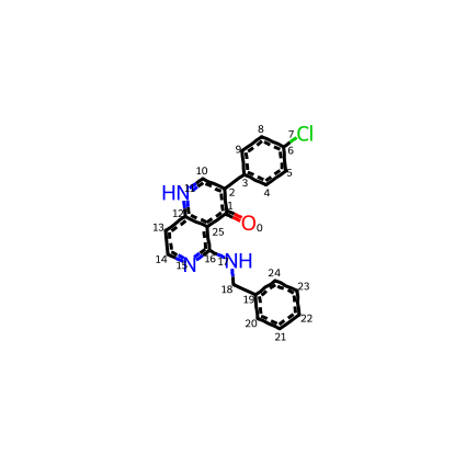 O=c1c(-c2ccc(Cl)cc2)c[nH]c2ccnc(NCc3ccccc3)c12